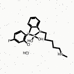 CNCCCCCN1c2ccccc2N(c2ccc(F)cc2Cl)S1(O)O.Cl